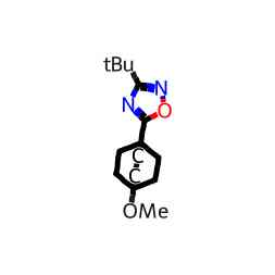 COC12CCC(c3nc(C(C)(C)C)no3)(CC1)CC2